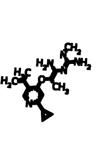 C=N/C(N)=N\C(N)=C(/C)Oc1cc(C2CC2)ncc1C(=C)C